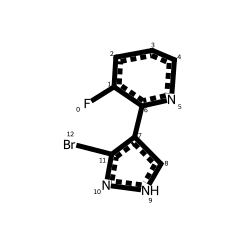 Fc1cccnc1-c1[c][nH]nc1Br